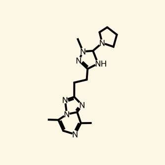 Cc1ncc(C)n2nc(CCC3=NN(C)C(N4CCCC4)N3)nc12